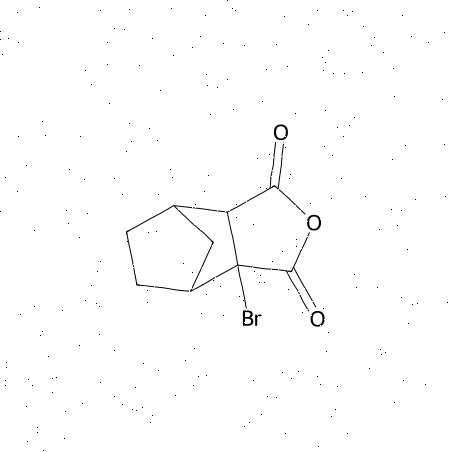 O=C1OC(=O)C2(Br)C3CCC(C3)C12